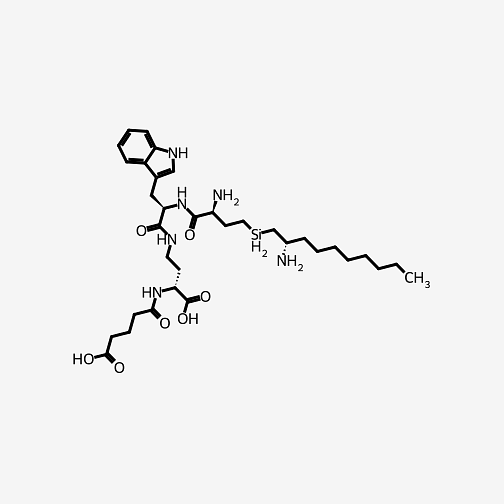 CCCCCCCC[C@H](N)C[SiH2]CC[C@H](N)C(=O)N[C@H](Cc1c[nH]c2ccccc12)C(=O)NCC[C@@H](NC(=O)CCCC(=O)O)C(=O)O